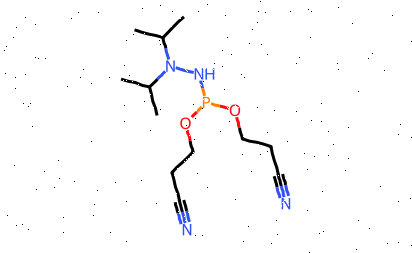 CC(C)N(NP(OCCC#N)OCCC#N)C(C)C